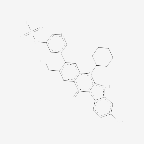 CC(C)Cc1cc2c(=O)c3c4ccc(C#N)cc4[nH]c3n(C3CCCCC3)c2cc1-c1cncc(OS(=O)(=O)F)c1